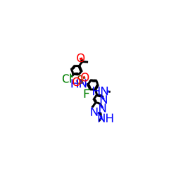 CNc1ncc2cc(-c3cccc(NS(=O)(=O)c4cc(C(C)=O)ccc4Cl)c3F)c(NC)nc2n1